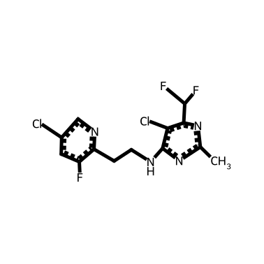 Cc1nc(NCCc2ncc(Cl)cc2F)c(Cl)c(C(F)F)n1